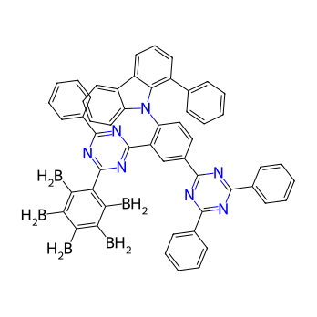 Bc1c(B)c(B)c(-c2nc(-c3ccccc3)nc(-c3cc(-c4nc(-c5ccccc5)nc(-c5ccccc5)n4)ccc3-n3c4ccccc4c4cccc(-c5ccccc5)c43)n2)c(B)c1B